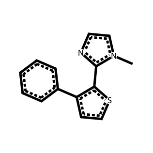 Cn1ccnc1-c1sccc1-c1ccccc1